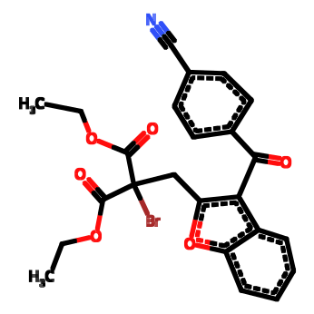 CCOC(=O)C(Br)(Cc1oc2ccccc2c1C(=O)c1ccc(C#N)cc1)C(=O)OCC